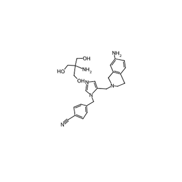 N#Cc1ccc(Cn2cncc2CN2CCc3ccc(N)cc3C2)cc1.NC(CO)(CO)CO